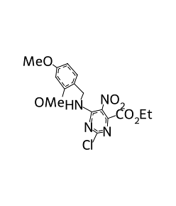 CCOC(=O)c1nc(Cl)nc(NCc2ccc(OC)cc2OC)c1[N+](=O)[O-]